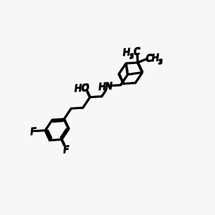 CC1(C)C2CCCC1C2CNCC(O)CCc1cc(F)cc(F)c1